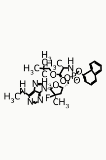 CNc1ncnc2c1ncn2[C@@H]1O[C@H](CO[P@@](=O)(N[C@H](C)C(=O)OCC(C)(C)C)Oc2cccc3ccccc23)C[C@@]1(C)F